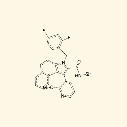 COc1ncccc1-c1c(C(=O)NS)n(Cc2ccc(F)cc2F)c2ccc3ccccc3c12